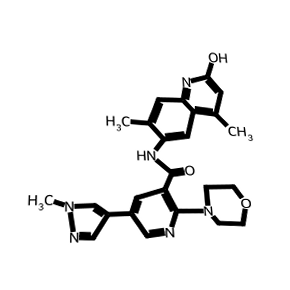 Cc1cc2nc(O)cc(C)c2cc1NC(=O)c1cc(-c2cnn(C)c2)cnc1N1CCOCC1